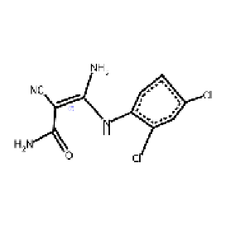 N#C/C(C(N)=O)=C(\N)Nc1ccc(Cl)cc1Cl